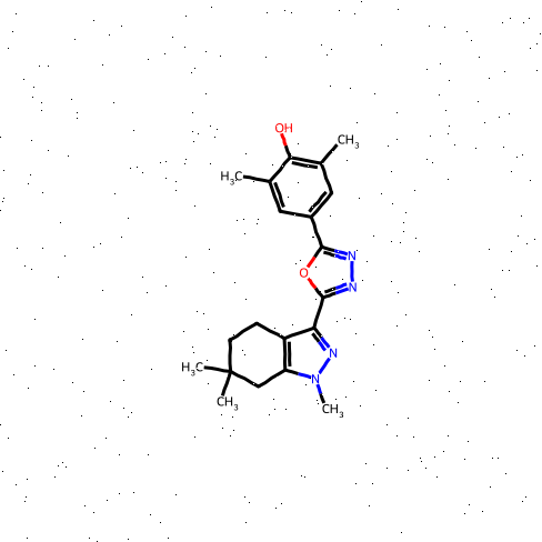 Cc1cc(-c2nnc(-c3nn(C)c4c3CCC(C)(C)C4)o2)cc(C)c1O